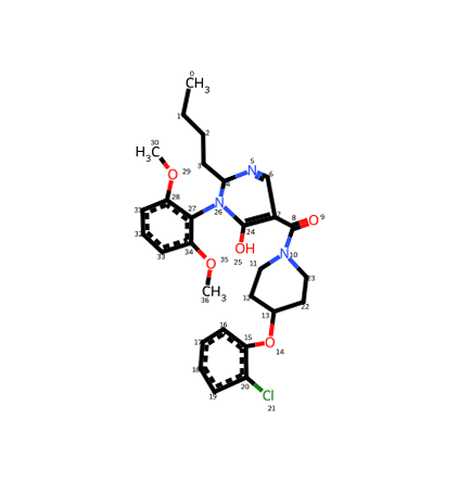 CCCCC1N=CC(C(=O)N2CCC(Oc3ccccc3Cl)CC2)=C(O)N1c1c(OC)cccc1OC